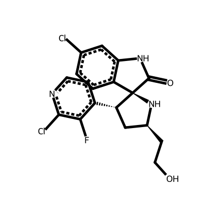 O=C1Nc2cc(Cl)ccc2[C@]12N[C@@H](CCO)C[C@@H]2c1ccnc(Cl)c1F